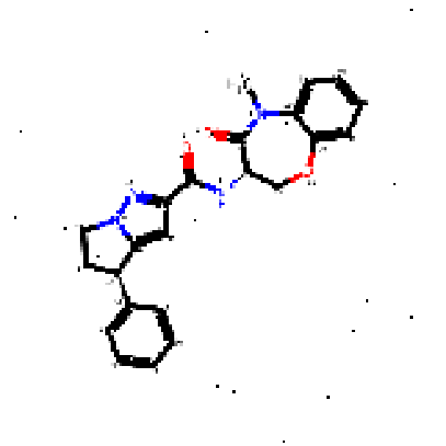 CN1C(=O)[C@@H](NC(=O)c2cc3n(n2)CC[C@@H]3c2ccccc2)COc2ccccc21